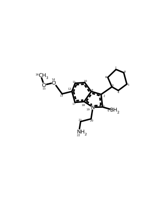 Bc1c(C2CCCCC2)c2ccc(COOC)cc2n1CCN